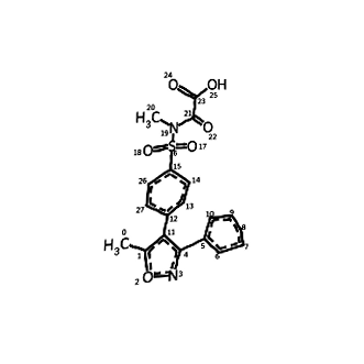 Cc1onc(-c2ccccc2)c1-c1ccc(S(=O)(=O)N(C)C(=O)C(=O)O)cc1